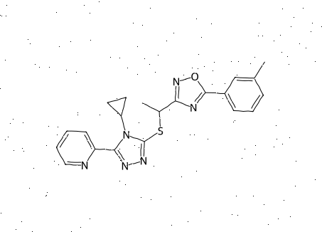 Cc1cccc(-c2nc(C(C)Sc3nnc(-c4ccccn4)n3C3CC3)no2)c1